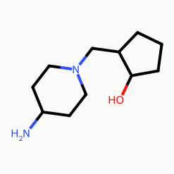 NC1CCN(CC2CCCC2O)CC1